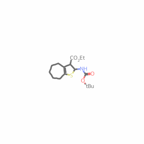 CCOC(=O)C1C2=C(CCCCC2)SC1NC(=O)OC(C)(C)C